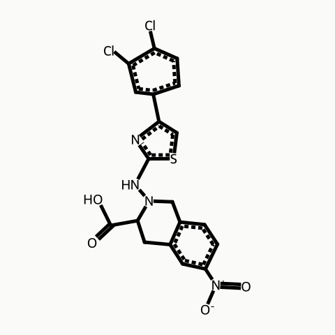 O=C(O)C1Cc2cc([N+](=O)[O-])ccc2CN1Nc1nc(-c2ccc(Cl)c(Cl)c2)cs1